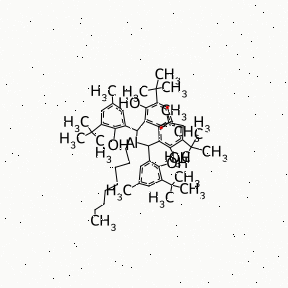 CCCCCCC[CH2][Al]([CH](c1cc(C)cc(C(C)(C)C)c1O)c1cc(C)cc(C(C)(C)C)c1O)[CH](c1cc(C)cc(C(C)(C)C)c1O)c1cc(C)cc(C(C)(C)C)c1O